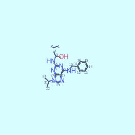 CC.CC(O)Nc1nc(NCc2ccccc2)c2ncn(C(C)C)c2n1